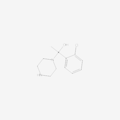 [CH2]C(O)(c1ccccc1Cl)N1CCNCC1